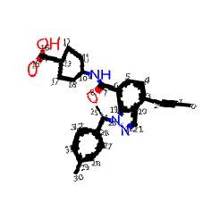 CC#Cc1ccc(C(=O)NC2CCC(C(=O)O)CC2)c2c1cnn2[C@H](C)c1ccc(C)cc1